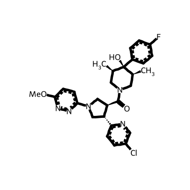 COc1ccc(N2C[C@@H](C(=O)N3C[C@@H](C)[C@](O)(c4ccc(F)cc4)[C@@H](C)C3)[C@H](c3ccc(Cl)cn3)C2)nn1